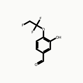 O=Cc1ccc(OC(F)(F)CF)c(O)c1